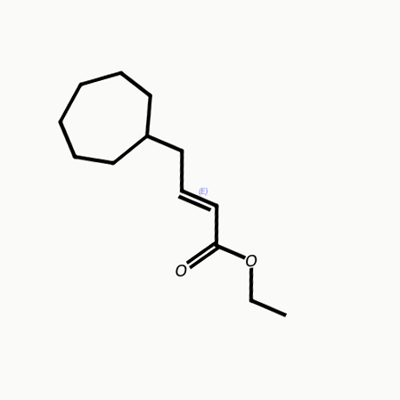 CCOC(=O)/C=C/CC1CCCCCC1